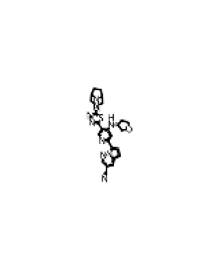 N#Cc1cnn2c(-c3cc(N[C@@H]4CCOC4)c(-c4nnc(N5CC6CCC(C5)N6)s4)cn3)ccc2c1